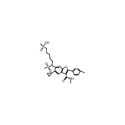 CNC(=O)c1c(-c2ccc(C)cc2)oc2nc(N(CCCCCP(C)(=O)O)S(C)(=O)=O)c(C3CC3)cc12